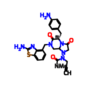 C#CCN(C(=O)NC)N1CC(=O)N2C1CN(Cc1cccc3sc(N)nc13)C(=O)[C@@H]2Cc1ccc(N)cc1